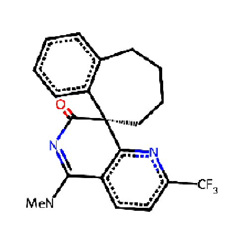 CNC1=NC(=O)[C@]2(CCCCc3ccccc32)c2nc(C(F)(F)F)ccc21